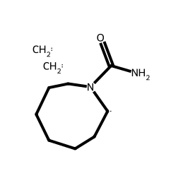 NC(=O)N1[CH]CCCCCC1.[CH2].[CH2]